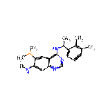 CCNc1cc2ncnc(NC(C)c3cccc(C(F)(F)F)c3C)c2cc1P(C)C